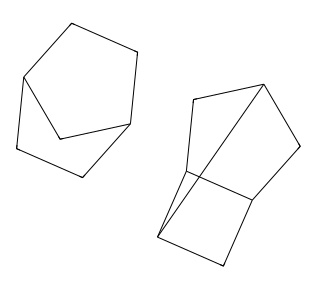 C1C2CC3C1CC23.C1CC2CCC1C2